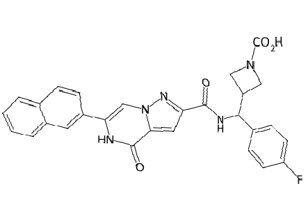 O=C(NC(c1ccc(F)cc1)C1CN(C(=O)O)C1)c1cc2c(=O)[nH]c(-c3ccc4ccccc4c3)cn2n1